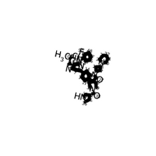 CC(C)n1cnc2cc(-c3ccc4c(c3)N(C3CC(N5CCCCC5)C3)C(=O)C43CCN(C(=O)[C@@H]4CCNC4)CC3)nc(Nc3ccccc3F)c21